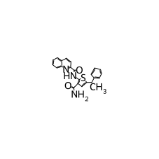 CC(c1ccccc1)c1cc(C(N)=O)c(NC(=O)c2ccc3ccccc3n2)s1